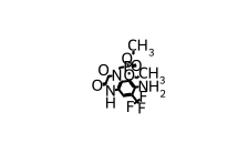 CCOP(=O)(Cn1c(=O)c(=O)[nH]c2cc(C(F)(F)F)c(N)cc21)OCC